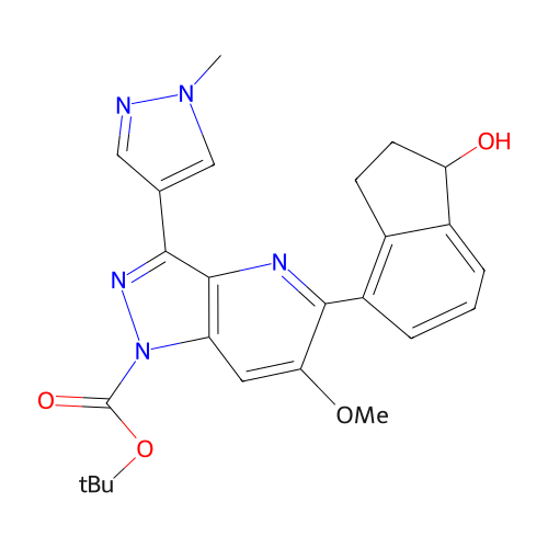 COc1cc2c(nc1-c1cccc3c1CCC3O)c(-c1cnn(C)c1)nn2C(=O)OC(C)(C)C